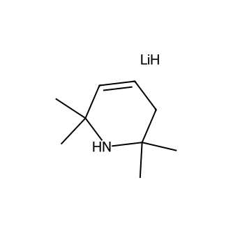 CC1(C)C=CCC(C)(C)N1.[LiH]